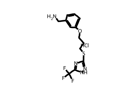 Cl.NCc1cccc(OCCCSc2n[nH]c(C(F)(F)F)n2)c1